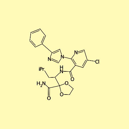 CC(C)CC(NC(=O)c1cc(Cl)cnc1-n1cnc(-c2ccccc2)c1)C1(C(N)=O)OCCO1